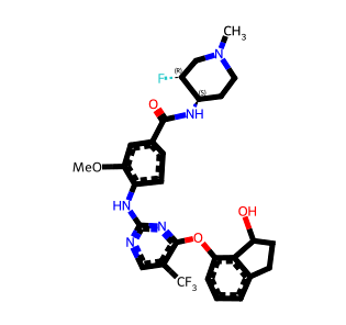 COc1cc(C(=O)N[C@H]2CCN(C)C[C@H]2F)ccc1Nc1ncc(C(F)(F)F)c(Oc2cccc3c2C(O)CC3)n1